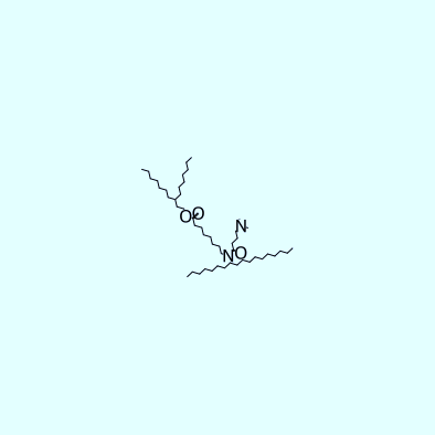 CCCCCCCCCCC(CCCCCCC)N(CCCCCCCC(=O)OCCC(CCCCCCC)CCCCCCC)C(=O)CCCN(C)C